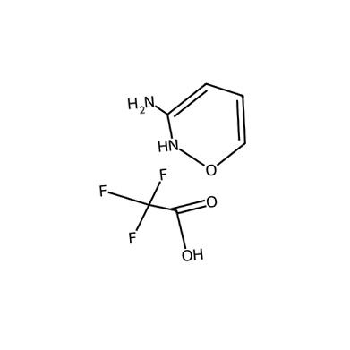 NC1=CC=CON1.O=C(O)C(F)(F)F